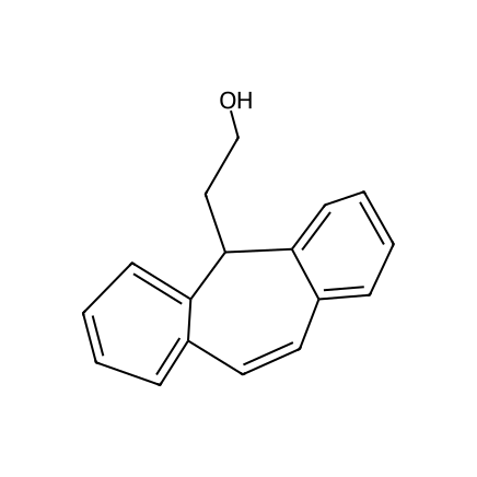 OCCC1c2ccccc2C=Cc2ccccc21